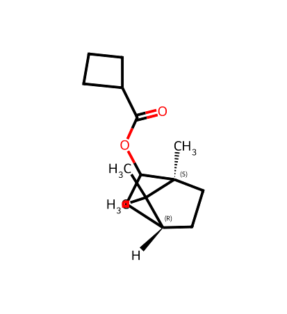 CC1(C)[C@@H]2CC[C@]1(C)C(OC(=O)C1CCC1)C2